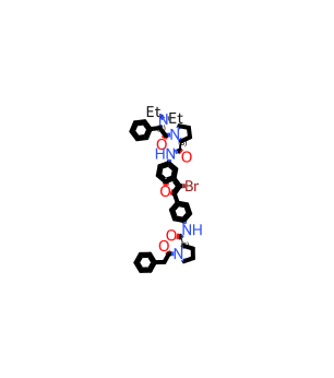 CCN(CC)[C@@H](C(=O)N1CCC[C@H]1C(=O)Nc1ccc2oc(-c3ccc(NC(=O)[C@@H]4CCCN4C(=O)Cc4ccccc4)cc3)c(Br)c2c1)c1ccccc1